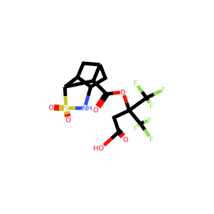 O=C(O)CC(OC(=O)C1C2CC3NS(=O)(=O)C1C3C2)(C(F)(F)F)C(F)(F)F